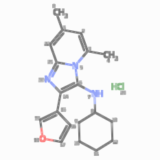 Cc1cc(C)n2c(NC3CCCCC3)c(-c3ccoc3)nc2c1.Cl